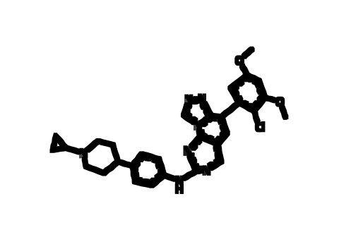 COc1cc(OC)c(Cl)c(-c2cc3cnc(Nc4ccc(C5CCN(C6CC6)CC5)cc4)nc3n3cnnc23)c1